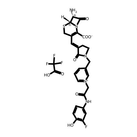 N[C@@H]1C(=O)N2C(C(=O)[O-])=C(C=C3CCN(Cc4ccc[n+](CC(=O)Nc5ccc(O)c(F)c5)c4)C3=O)CS[C@H]12.O=C(O)C(F)(F)F